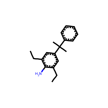 CCc1cc(C(C)(C)c2ccccc2)cc(CC)c1N